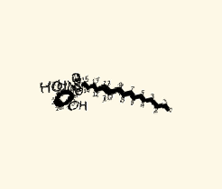 CCCCCCCCCCCCCCCCS(=O)(=O)Nc1cc(O)ccc1O